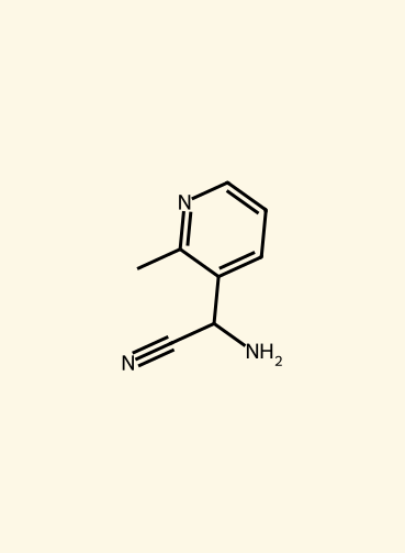 Cc1ncccc1C(N)C#N